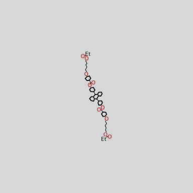 CCC(=O)OCCCCCCOc1ccc(C(=O)Oc2ccc(-c3c4ccccc4c(-c4ccc(OC(=O)c5ccc(OCCCCCCOC(=O)CC)cc5)cc4)c4ccccc34)cc2)cc1